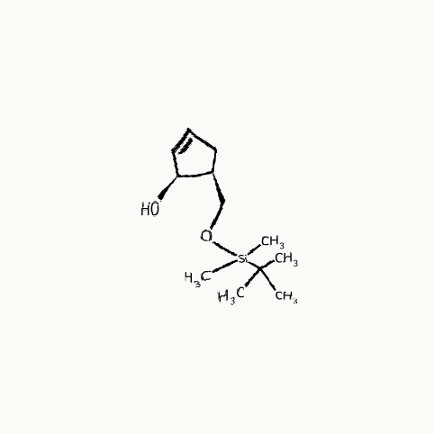 CC(C)(C)[Si](C)(C)OC[C@@H]1CC=C[C@@H]1O